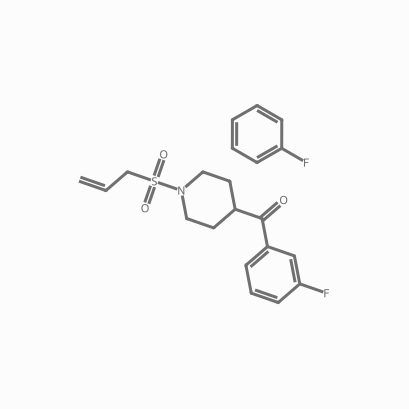 C=CCS(=O)(=O)N1CCC(C(=O)c2cccc(F)c2)CC1.Fc1ccccc1